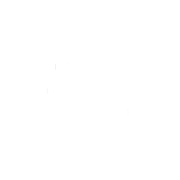 CCC(CC)Cc1ccccc1Cl